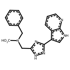 O=C(O)N(Cc1ccccc1)Cc1nc(-c2c[nH]c3ncccc23)n[nH]1